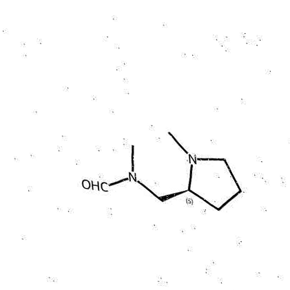 CN(C=O)C[C@@H]1CCCN1C